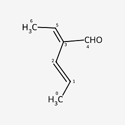 CC=C/C(C=O)=C\C